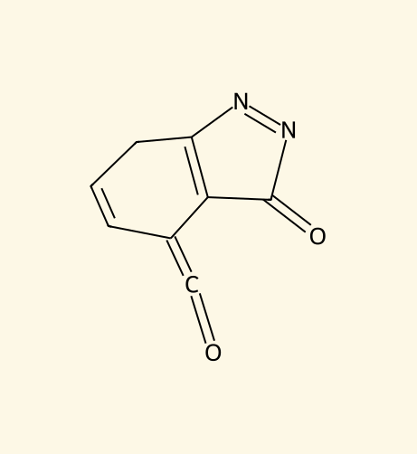 O=C=C1C=CCC2=C1C(=O)N=N2